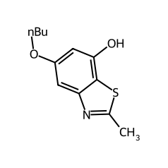 CCCCOc1cc(O)c2sc(C)nc2c1